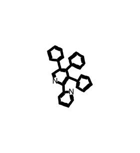 c1ccc(-c2cnc(-c3ccccn3)c(-c3ccccc3)c2-c2ccccc2)cc1